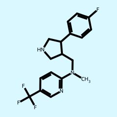 CN(CC1CNCC1c1ccc(F)cc1)c1ccc(C(F)(F)F)cn1